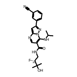 CC(C)Nc1c(C(=O)NC[C@@H](F)C(C)(C)O)cnc2cc(-c3cccc(C#N)c3)nn12